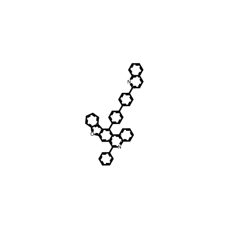 c1ccc(-c2nc3ccccc3c3c(-c4ccc(-c5ccc(-c6ccc7ccccc7n6)cc5)cc4)c4c(cc23)oc2ccccc24)cc1